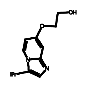 CC(C)c1cnc2cc(OCCO)ccn12